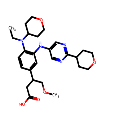 CCN(c1ccc(C(COC)CC(=O)O)cc1Nc1cnc(C2CCOCC2)nc1)C1CCOCC1